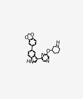 c1cc2c(cc1-c1ccc3[nH]cc(-c4cncc(OC5CCCNC5)n4)c3c1)OCO2